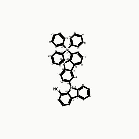 N#Cc1cccc2c3ccccc3n(-c3ccc4sc5c([Si](c6ccccc6)(c6ccccc6)c6ccccc6)cccc5c4c3)c12